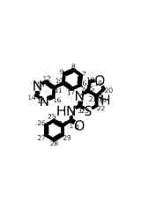 O=C(NC1=N[C@@]2(c3cccc(-c4cncnc4)c3)COC[C@H]2CS1)c1ccccc1